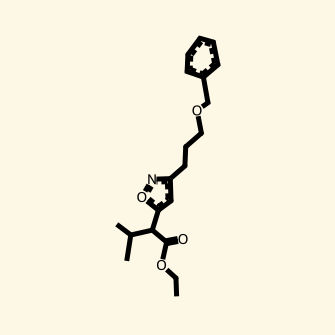 CCOC(=O)C(c1cc(CCCOCc2ccccc2)no1)C(C)C